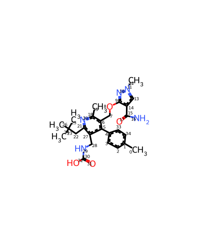 Cc1ccc(-c2c(COc3nn(C)cc3C(N)=O)c(C)nc(CC(C)(C)C)c2CNC(=O)O)cc1